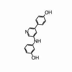 Oc1ccc(-c2cncc(Nc3cccc(O)c3)c2)cc1